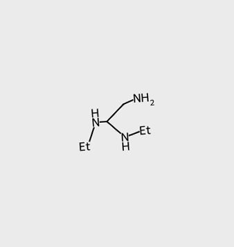 CCNC(CN)NCC